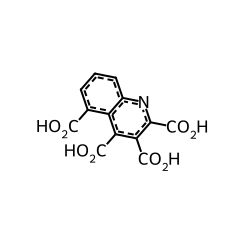 O=C(O)c1nc2cccc(C(=O)O)c2c(C(=O)O)c1C(=O)O